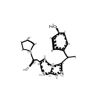 CC(c1ccc(O)cc1)c1nnc2sc(C(=O)N3CCCC3)nn12